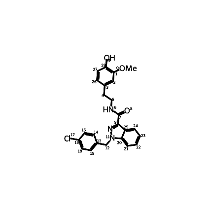 COc1cc(CCNC(=O)c2nn(Cc3ccc(Cl)cc3)c3ccccc23)ccc1O